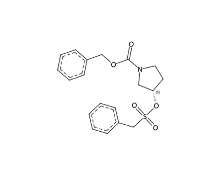 O=C(OCc1ccccc1)N1CC[C@H](OS(=O)(=O)Cc2ccccc2)C1